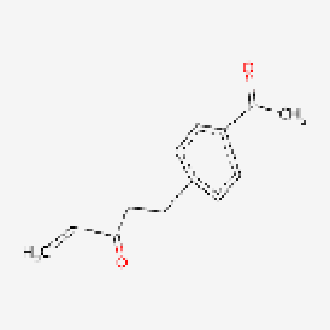 C=CC(=O)CCc1ccc(C(C)=O)cc1